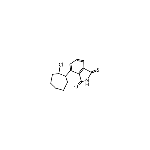 O=C1NC(=S)c2cccc(C3CCCCCC3Cl)c21